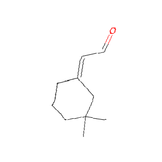 CC1(C)CCC/C(=C/C=O)C1